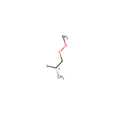 BOSC[C@H](C)I